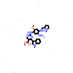 COC(=O)c1cnc(Nc2cc(N)c(NCC3CCCN3C)cc2OC)nc1-c1cn(C)c2ccccc12